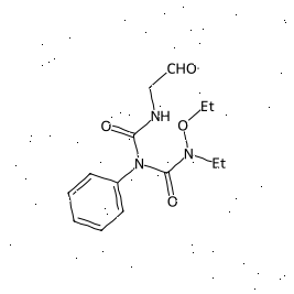 CCON(CC)C(=O)N(C(=O)NC[C]=O)c1ccccc1